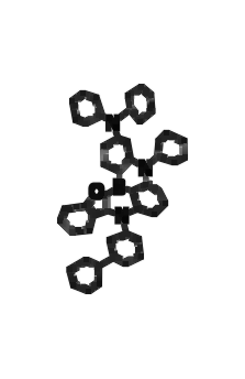 c1ccc(-c2cccc(N3c4cccc5c4B(c4ccc(N(c6ccccc6)c6ccccc6)cc4N5c4ccccc4)c4oc5ccccc5c43)c2)cc1